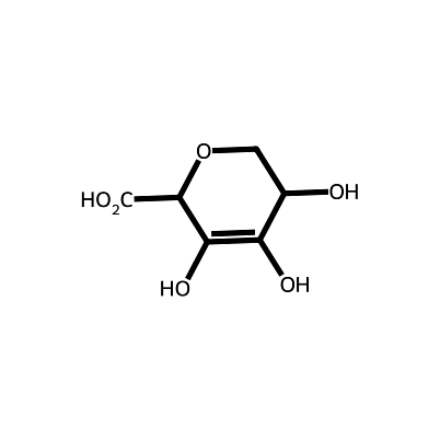 O=C(O)C1OCC(O)C(O)=C1O